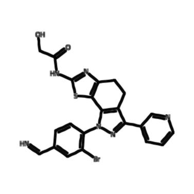 N=Cc1ccc(-n2nc(-c3cccnc3)c3c2-c2sc(NC(=O)CO)nc2CC3)c(Br)c1